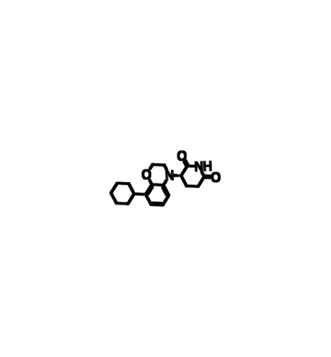 O=C1CC[C@@H](N2CCOc3c(C4CCCCC4)cccc32)C(=O)N1